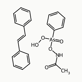 C(=Cc1ccccc1)c1ccccc1.CC(=O)NO[As](=O)(OO)c1ccccc1